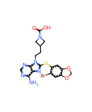 Nc1ncnc2c1nc(Sc1cc3c(cc1Br)OCO3)n2CCC1CN(C(=O)O)C1